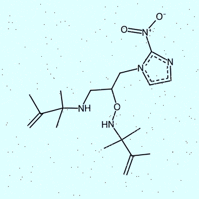 C=C(C)C(C)(C)NCC(Cn1ccnc1[N+](=O)[O-])ONC(C)(C)C(=C)C